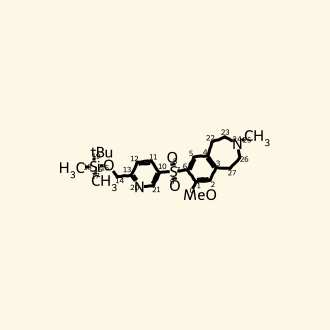 COc1cc2c(cc1S(=O)(=O)c1ccc(CO[Si](C)(C)C(C)(C)C)nc1)CCN(C)CC2